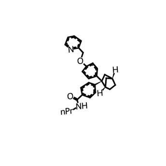 CCCNC(=O)c1ccc([C@@]2(c3ccc(OCc4ccccn4)cc3)C[C@@H]3CC[C@H]2C3)cc1